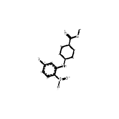 COC(=O)C1CCC(Nc2cc(F)ccc2[N+](=O)[O-])CC1